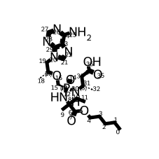 CCCCCOC(=O)C(C)(CC)N[P@@](=O)(CO[C@H](C)Cn1cnc2c(N)ncnc21)N[C@@H](C)CC(=O)O